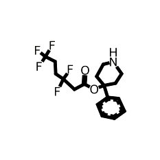 O=C(CC(F)(F)CCC(F)(F)F)OC1(c2ccccc2)CCNCC1